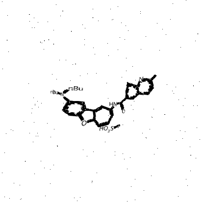 CCCCN(CCCC)c1ccc2c(c1)C1=CC(NC(=O)c3ccc4nc(C)ccc4c3)=CC=CC1O2.CS(=O)(=O)O